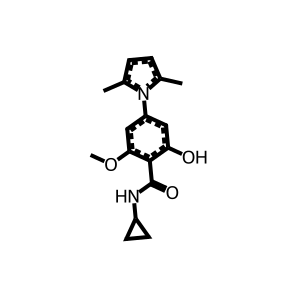 COc1cc(-n2c(C)ccc2C)cc(O)c1C(=O)NC1CC1